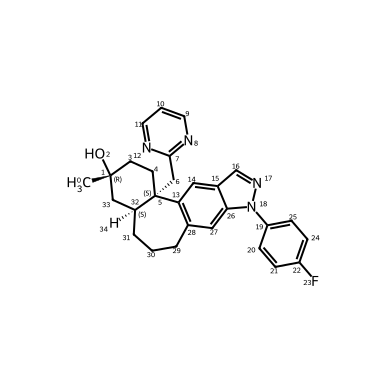 C[C@@]1(O)CC[C@@]2(Cc3ncccn3)c3cc4cnn(-c5ccc(F)cc5)c4cc3CCC[C@H]2C1